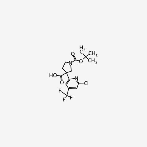 CC(C)(C)OC(=O)N1CCC(C(=O)O)(c2cc(C(F)(F)F)cc(Cl)n2)C1